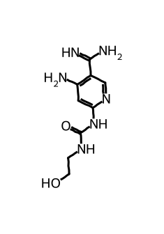 N=C(N)c1cnc(NC(=O)NCCO)cc1N